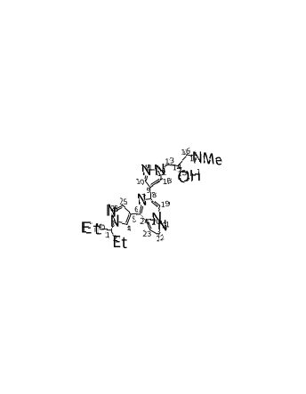 CCC(CC)n1cc(-c2nc(-c3cnn(CC(O)CNC)c3)cn3nccc23)cn1